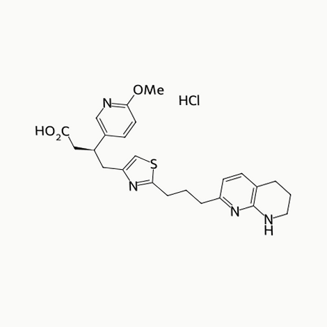 COc1ccc([C@H](CC(=O)O)Cc2csc(CCCc3ccc4c(n3)NCCC4)n2)cn1.Cl